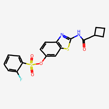 O=C(Nc1nc2ccc(OS(=O)(=O)c3ccccc3F)cc2s1)C1CCC1